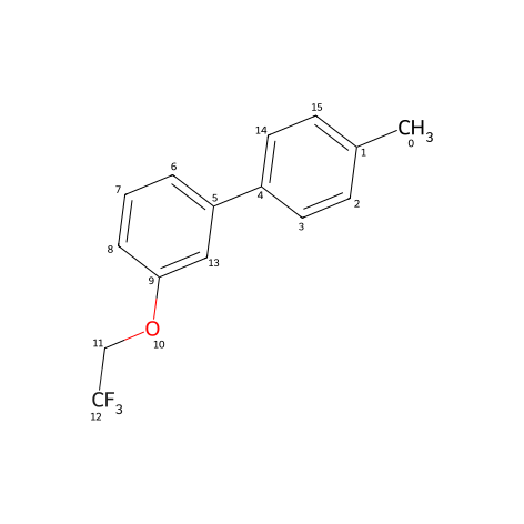 Cc1ccc(-c2cccc(OCC(F)(F)F)c2)cc1